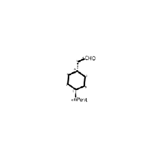 CCCCC[C@H]1CC[C@H](CC=O)CC1